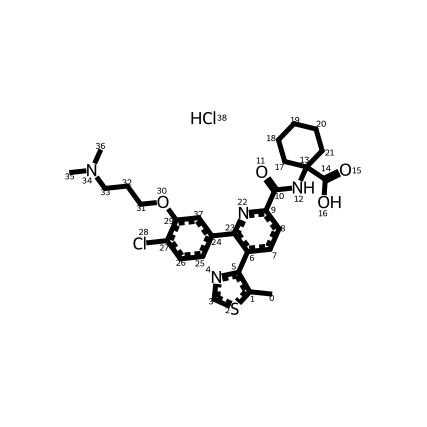 Cc1scnc1-c1ccc(C(=O)NC2(C(=O)O)CCCCC2)nc1-c1ccc(Cl)c(OCCCN(C)C)c1.Cl